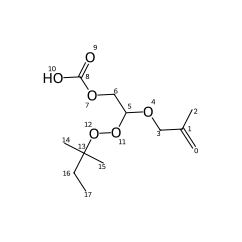 C=C(C)COC(COC(=O)O)OOC(C)(C)CC